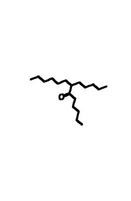 CCCCCCC(CCCCC)C(=O)CCCCC